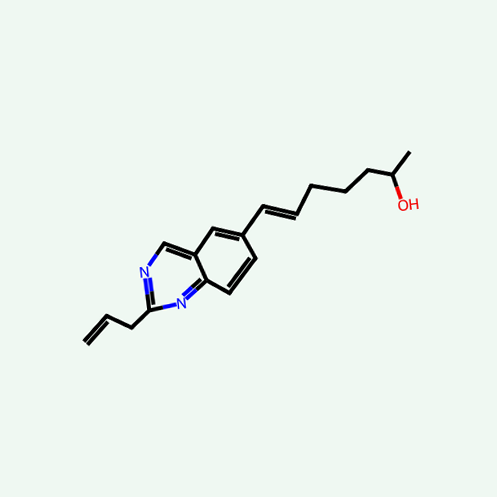 C=CCc1ncc2cc(C=CCCCC(C)O)ccc2n1